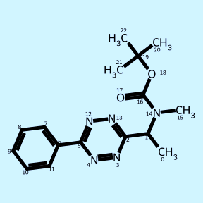 CC(c1nnc(-c2ccccc2)nn1)N(C)C(=O)OC(C)(C)C